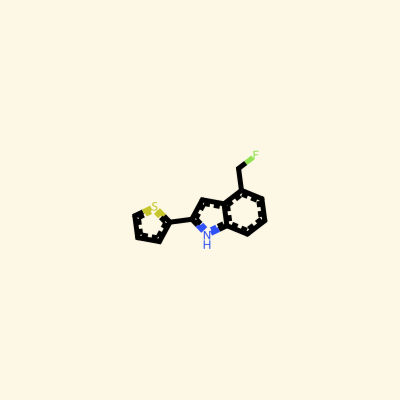 FCc1cccc2[nH]c(-c3cccs3)cc12